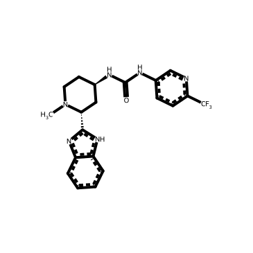 CN1CC[C@@H](NC(=O)Nc2ccc(C(F)(F)F)nc2)C[C@@H]1c1nc2ccccc2[nH]1